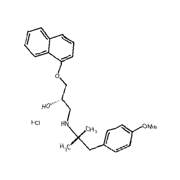 COc1ccc(CC(C)(C)NC[C@H](O)COc2cccc3ccccc23)cc1.Cl